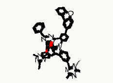 Cc1nc(C)nc(-c2ccc3c(c2)c2cc(-c4nc(C)nc(C)n4)ccc2n3-c2ccc(-c3ccc4oc5ccccc5c4c3)cc2-c2nc(-c3ccccc3)nc(-c3ccccc3)n2)n1